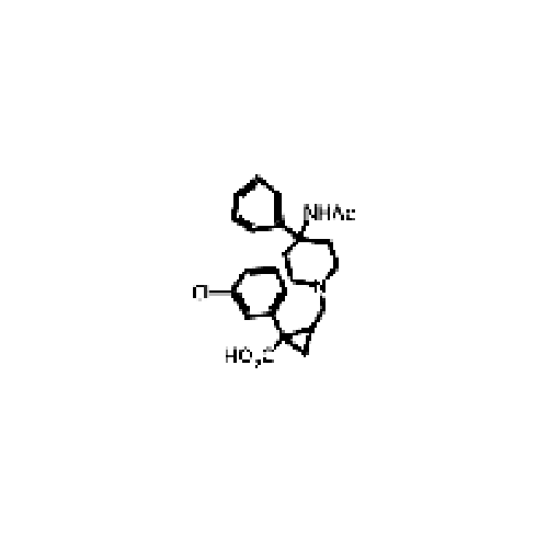 CC(=O)NC1(c2ccccc2)CCN(CC2CC2(C(=O)O)c2cccc(Cl)c2)CC1